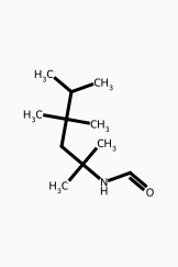 CC(C)C(C)(C)CC(C)(C)NC=O